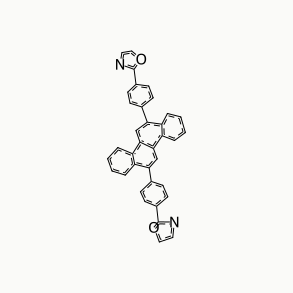 c1ccc2c(c1)c(-c1ccc(-c3ncco3)cc1)cc1c3ccccc3c(-c3ccc(-c4ncco4)cc3)cc21